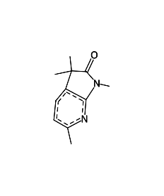 Cc1ccc2c(n1)N(C)C(=O)C2(C)C